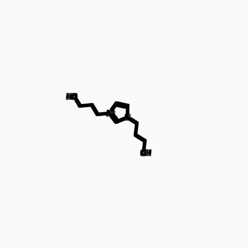 OCCCn1cc[n+](CCCO)c1